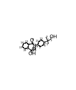 CC(C)(CO)c1ccc(NC(=O)c2ccccc2C(=O)O)cc1